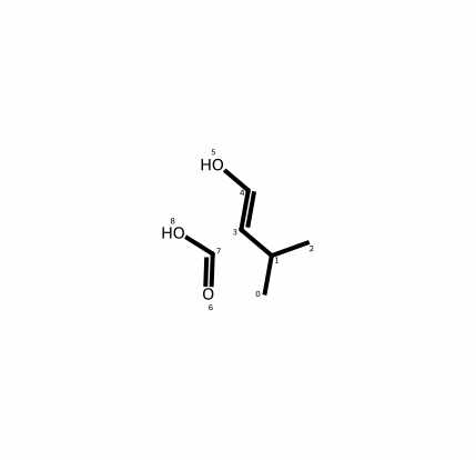 CC(C)C=CO.O=CO